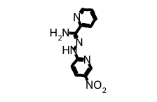 N/C(=N\Nc1ccc([N+](=O)[O-])cn1)c1ccccn1